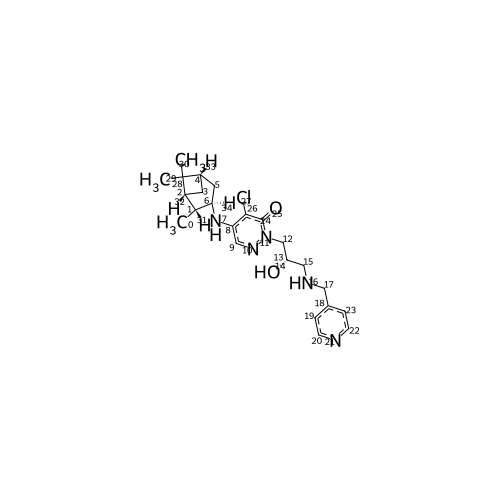 C[C@@H]1[C@H]2C[C@@H](C[C@H]1Nc1cnn(C[C@@H](O)CNCc3ccncc3)c(=O)c1Cl)C2(C)C